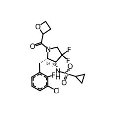 O=C(C1CCO1)N1CC(F)(F)[C@H](NS(=O)(=O)C2CC2)[C@@H]1Cc1cccc(Cl)c1F